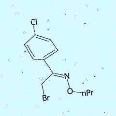 CCCON=C(CBr)c1ccc(Cl)cc1